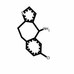 NC1c2cc(Cl)ccc2CCc2sccc21